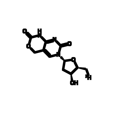 [2H]C[C@H]1O[C@@H](n2cc3c(nc2=O)NC(=O)OC3)C[C@H]1O